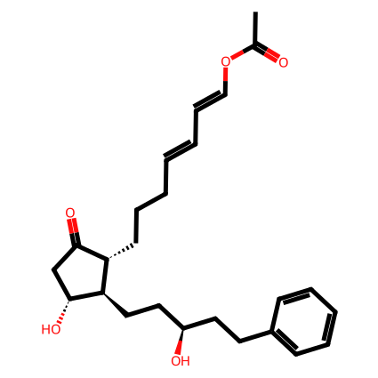 CC(=O)O/C=C/C=C/CCC[C@H]1C(=O)C[C@@H](O)[C@@H]1CC[C@H](O)CCc1ccccc1